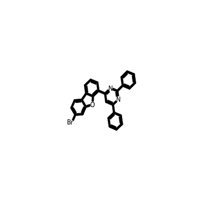 Brc1ccc2c(c1)oc1c(-c3cc(-c4ccccc4)nc(-c4ccccc4)n3)cccc12